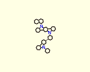 c1ccc(-n2c3ccccc3c3ccc(-c4cccc(-n5c6ccccc6c6cc7c(cc65)c5ccccc5n7-c5cccc6ccccc56)c4)cc32)cc1